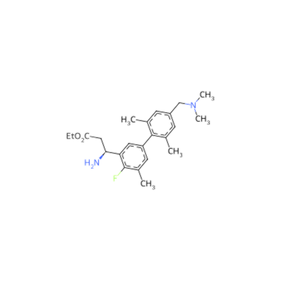 CCOC(=O)C[C@H](N)c1cc(-c2c(C)cc(CN(C)C)cc2C)cc(C)c1F